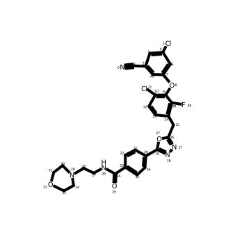 N#Cc1cc(Cl)cc(Oc2c(Cl)ccc(Cc3nnc(-c4ccc(C(=O)NCCN5CCOCC5)cc4)o3)c2F)c1